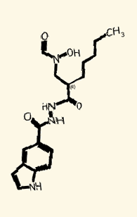 CCCCC[C@H](CN(O)C=O)C(=O)NNC(=O)c1ccc2[nH]ccc2c1